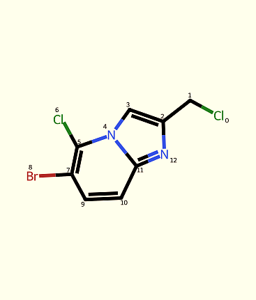 ClCc1cn2c(Cl)c(Br)ccc2n1